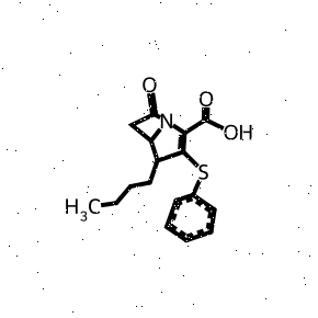 CCCCC1C(Sc2ccccc2)=C(C(=O)O)N2C(=O)CC12